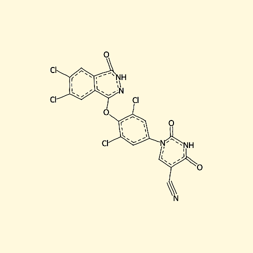 N#Cc1cn(-c2cc(Cl)c(Oc3n[nH]c(=O)c4cc(Cl)c(Cl)cc34)c(Cl)c2)c(=O)[nH]c1=O